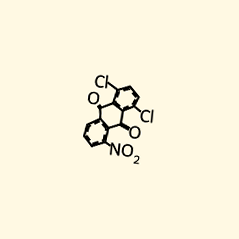 O=C1c2cccc([N+](=O)[O-])c2C(=O)c2c(Cl)ccc(Cl)c21